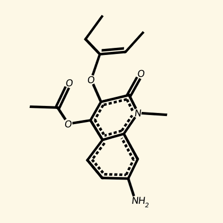 CC=C(CC)Oc1c(OC(C)=O)c2ccc(N)cc2n(C)c1=O